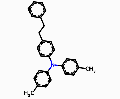 Cc1ccc(N(c2ccc(C)cc2)c2ccc(CCc3ccccc3)cc2)cc1